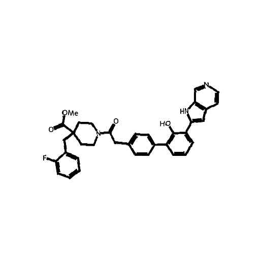 COC(=O)C1(Cc2ccccc2F)CCN(C(=O)Cc2ccc(-c3cccc(-c4cc5ccncc5[nH]4)c3O)cc2)CC1